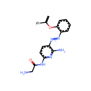 C=C(Oc1ccccc1/N=N/c1ccc(NC(=O)CN)nc1N)C(C)C